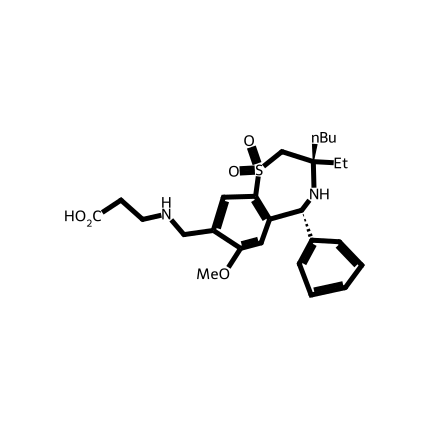 CCCC[C@]1(CC)CS(=O)(=O)c2cc(CNCCC(=O)O)c(OC)cc2[C@@H](c2ccccc2)N1